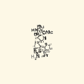 COc1ncc(-c2ccc3nc(N)n([C@@H](c4ccccc4)C(C)C)c3c2)cc1S(=O)(=O)NC(C)(C)C